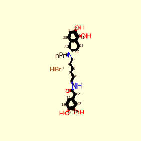 Br.CCCN(CCCCCCNC(=O)Cc1ccc(O)c(O)c1)[C@H]1CCc2c(ccc(O)c2O)C1